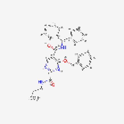 O=C(O)CCNC(=O)c1ncc(C(=O)NC(c2ccccc2)c2ccccc2)c(OCc2ccccc2)n1